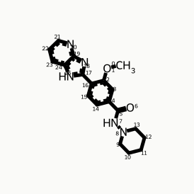 COc1cc(C(=O)NN2CCCCC2)ccc1-c1nc2ncccc2[nH]1